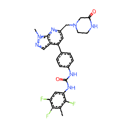 Cc1c(F)c(F)cc(NC(=O)Nc2ccc(-c3cc(CN4CCNC(=O)C4)nc4c3cnn4C)cc2)c1F